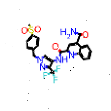 CS(=O)(=O)c1ccc(Cn2cc(NC(=O)c3cc(C(N)=O)c4ccccc4n3)c(C(F)(F)F)n2)cc1